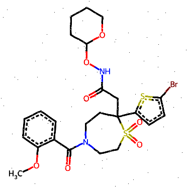 COc1ccccc1C(=O)N1CCC(CC(=O)NOC2CCCCO2)(c2ccc(Br)s2)S(=O)(=O)CC1